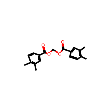 Cc1ccc(C(=O)OCOC(=O)c2ccc(C)c(C)c2)cc1C